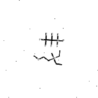 CC[N+](C)(CC)CCOC.F[B-](F)(F)C(F)(F)C(F)(F)F